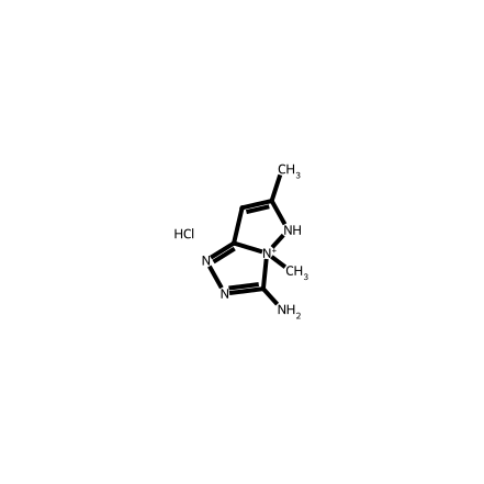 CC1=CC2=NN=C(N)[N+]2(C)N1.Cl